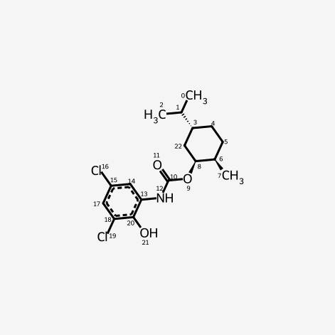 CC(C)[C@@H]1CC[C@@H](C)[C@@H](OC(=O)Nc2cc(Cl)cc(Cl)c2O)C1